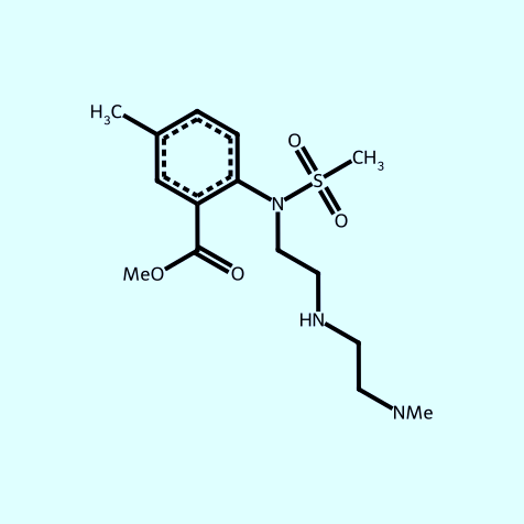 CNCCNCCN(c1ccc(C)cc1C(=O)OC)S(C)(=O)=O